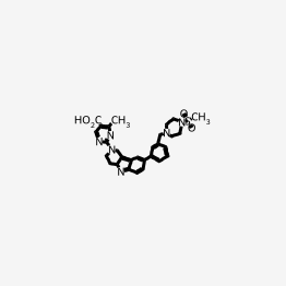 Cc1nc(N2CCC3N=c4ccc(-c5cccc(CN6CCN(S(C)(=O)=O)CC6)c5)cc4=C3C2)ncc1C(=O)O